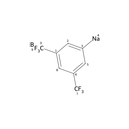 FC(F)(F)c1c[c]([Na])cc(C(F)(F)F)c1.[B]